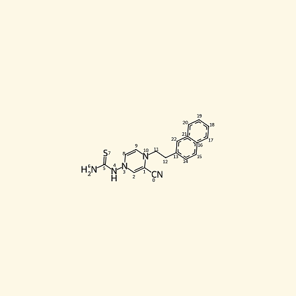 N#CC1=CN(NC(N)=S)C=CN1CCc1ccc2ccccc2c1